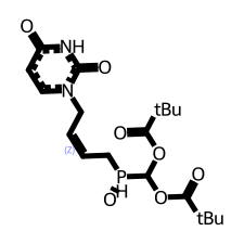 CC(C)(C)C(=O)OC(OC(=O)C(C)(C)C)[PH](=O)C/C=C\Cn1ccc(=O)[nH]c1=O